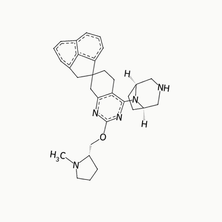 CN1CCC[C@H]1COc1nc2c(c(N3[C@@H]4CC[C@H]3CNC4)n1)CCC1(C2)Cc2cccc3cccc1c23